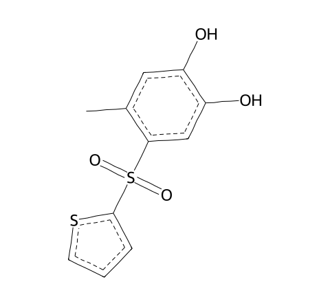 Cc1cc(O)c(O)cc1S(=O)(=O)c1cccs1